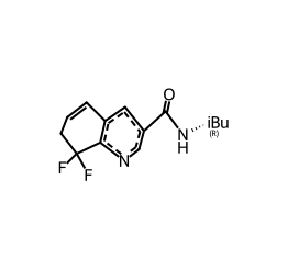 CC[C@@H](C)NC(=O)c1cnc2c(c1)C=CCC2(F)F